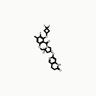 Cc1cc2c(c(OC3CC(F)(F)C3)c1F)C(=O)N1C[C@@H](Oc3cc4c(cn3)CCC(=O)N4)C[C@@H]1CO2